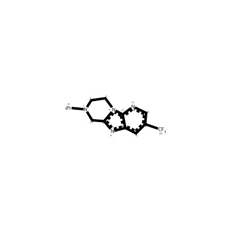 CC(C)N1CCn2c(nc3cc(C(F)(F)F)cnc32)C1